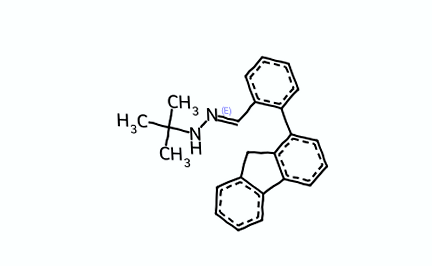 CC(C)(C)N/N=C/c1ccccc1-c1cccc2c1Cc1ccccc1-2